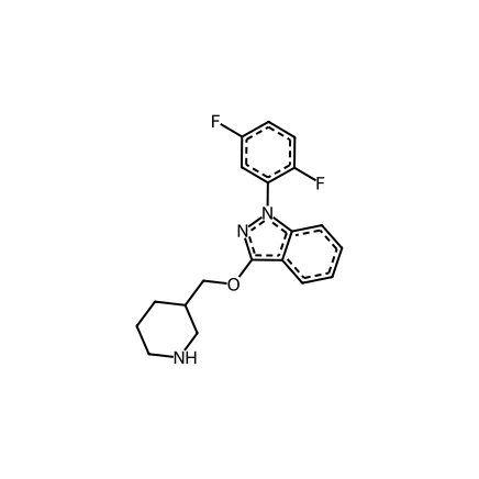 Fc1ccc(F)c(-n2nc(OCC3CCCNC3)c3ccccc32)c1